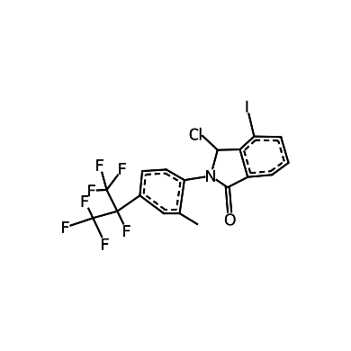 Cc1cc(C(F)(C(F)(F)F)C(F)(F)F)ccc1N1C(=O)c2cccc(I)c2C1Cl